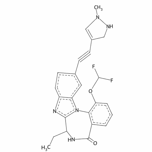 CCC1NC(=O)c2cccc(OC(F)F)c2-n2c1nc1ccc(C#CC3=CN(C)NC3)cc12